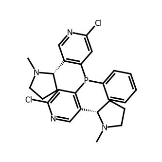 CN1CCC[C@H]1c1cnc(Cl)cc1P(c1ccccc1)c1cc(Cl)ncc1[C@@H]1CCCN1C